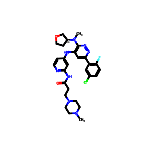 CN1CCN(CCC(=O)Nc2cc(Nc3cc(-c4cc(Cl)ccc4F)nnc3N(C)[C@H]3CCOC3)ccn2)CC1